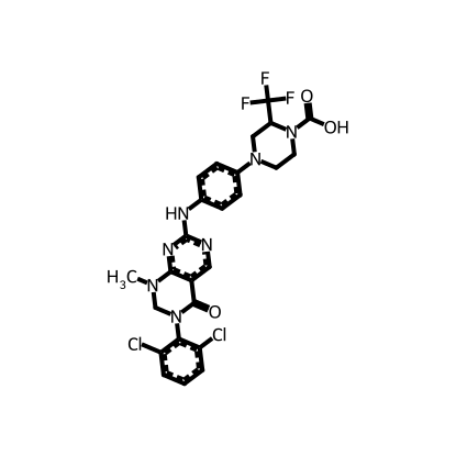 CN1CN(c2c(Cl)cccc2Cl)C(=O)c2cnc(Nc3ccc(N4CCN(C(=O)O)C(C(F)(F)F)C4)cc3)nc21